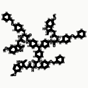 COc1ccc2[nH]c(C)c(CC(=O)N[C@@H](Cc3ccc(OCc4ccccc4)cc3)C(=O)Nc3ccc(C(c4ccc(NC(=O)[C@H](Cc5ccc(OCc6ccccc6)cc5)NC(=O)Cc5c(C)[nH]c6ccc(OC)cc56)cc4)c4ccc(NC(=O)[C@H](Cc5ccc(OCc6ccccc6)cc5)NC(=O)Cc5c(C)[nH]c6ccc(OC)cc56)cc4)cc3)c2c1